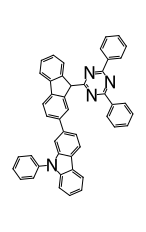 c1ccc(-c2nc(-c3ccccc3)nc(C3c4ccccc4-c4ccc(-c5ccc6c7ccccc7n(-c7ccccc7)c6c5)cc43)n2)cc1